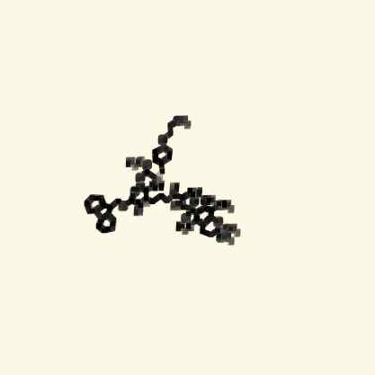 C=CCOc1ccc(C[C@H](NC(=O)[C@@H](CCCNC(=N)NS(=O)(=O)c2c(C)c(C)c3c(c2C)CCC(C)(C)O3)NC(=O)OCC2c3ccccc3-c3ccccc32)C(=O)OC)cc1